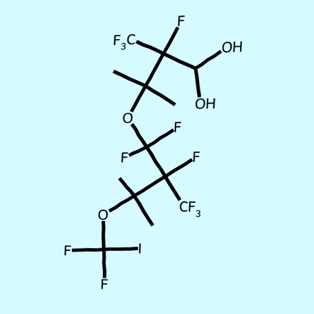 CC(C)(OC(F)(F)C(F)(C(F)(F)F)C(C)(C)OC(F)(F)I)C(F)(C(O)O)C(F)(F)F